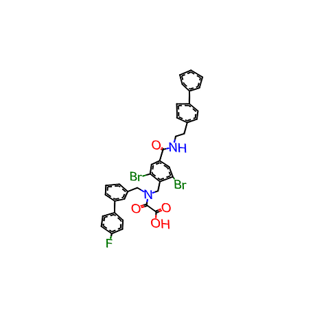 O=C(O)C(=O)N(Cc1cccc(-c2ccc(F)cc2)c1)Cc1c(Br)cc(C(=O)NCCc2ccc(-c3ccccc3)cc2)cc1Br